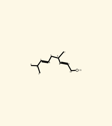 CC(C)C=CCC(C)C=CC[O]